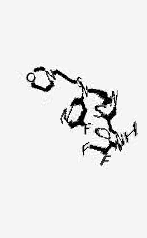 Fc1cncc(N(Cc2ncc(C3NN=C(C(F)F)O3)s2)SCCN2CCCOCC2)c1